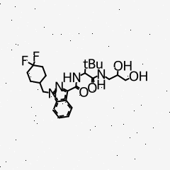 CC(C)(C)C(NC(=O)c1nn(CC2CCC(F)(F)CC2)c2ccccc12)C(=O)NCC(O)CO